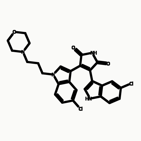 O=C1NC(=O)C(c2cn(CCCN3CCOCC3)c3ccc(Cl)cc23)=C1c1c[nH]c2ccc(Cl)cc12